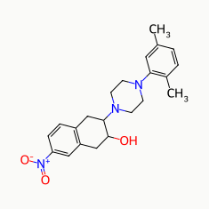 Cc1ccc(C)c(N2CCN(C3Cc4ccc([N+](=O)[O-])cc4CC3O)CC2)c1